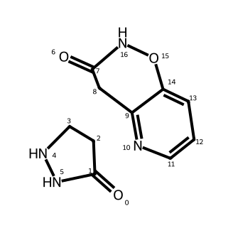 O=C1CCNN1.O=C1Cc2ncccc2ON1